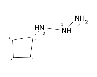 NNNC1CCC1